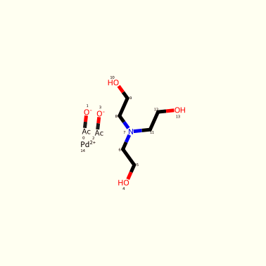 CC(=O)[O-].CC(=O)[O-].OCCN(CCO)CCO.[Pd+2]